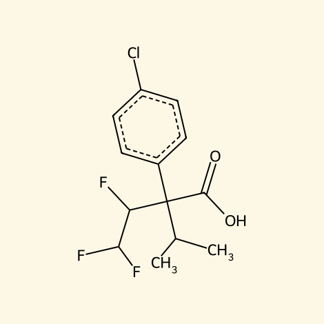 CC(C)C(C(=O)O)(c1ccc(Cl)cc1)C(F)C(F)F